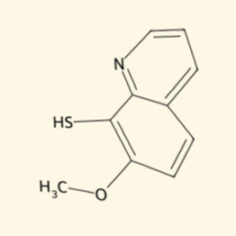 COc1ccc2cccnc2c1S